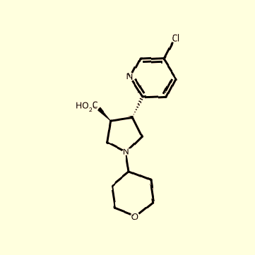 O=C(O)[C@@H]1CN(C2CCOCC2)C[C@H]1c1ccc(Cl)cn1